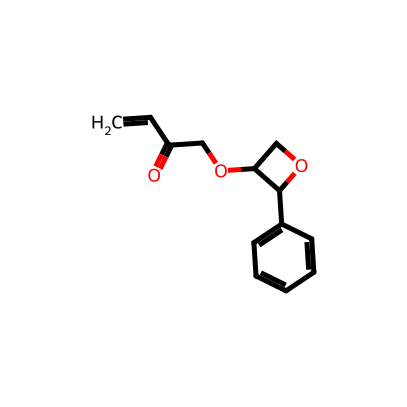 C=CC(=O)COC1COC1c1ccccc1